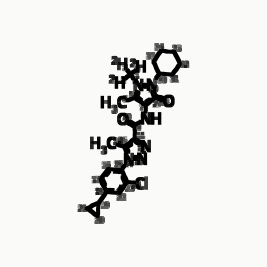 [2H]C([2H])([2H])n1c(C)c(NC(=O)c2nnn(-c3ccc(C4CC4)cc3Cl)c2C)c(=O)n1C1CCCCC1